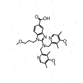 COCCCn1c(N(Cc2ncc(C)c(OC)c2C)Cc2ncc(C)c(OC)c2C)nc2cc(C(=O)O)ccc21